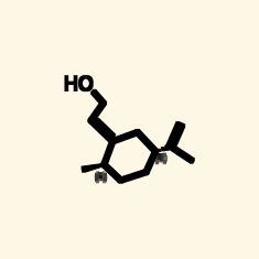 C=C(C)[C@@H]1CC[C@@H](C)C(=CCO)C1